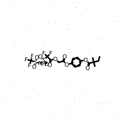 CCC(C)(C)C(=O)Oc1ccc(OC(=O)COC(=O)C(F)(F)S(=O)(=O)NS(=O)(=O)C(F)(F)F)cc1